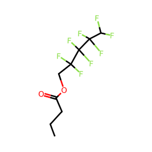 CCCC(=O)OCC(F)(F)C(F)(F)C(F)(F)C(F)F